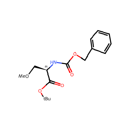 COC[C@@H](NC(=O)OCc1ccccc1)C(=O)OC(C)(C)C